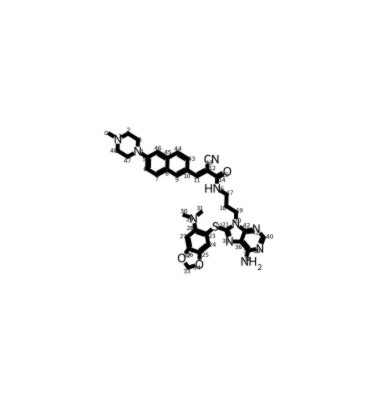 CN1CCN(c2ccc3cc(/C=C(\C#N)C(=O)NCCCn4c(Sc5cc6c(cc5N(C)C)OCO6)nc5c(N)ncnc54)ccc3c2)CC1